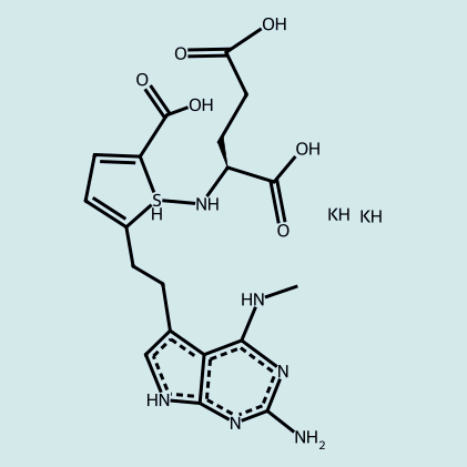 CNc1nc(N)nc2[nH]cc(CCC3=CC=C(C(=O)O)[SH]3N[C@@H](CCC(=O)O)C(=O)O)c12.[KH].[KH]